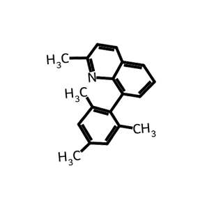 Cc1cc(C)c(-c2cccc3ccc(C)nc23)c(C)c1